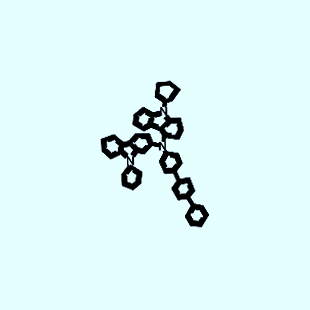 C1=CC(n2c3ccccc3c3c(N(c4ccc(-c5ccc(-c6ccccc6)cc5)cc4)c4ccc5c6ccccc6n(-c6ccccc6)c5c4)cccc32)=CCC1